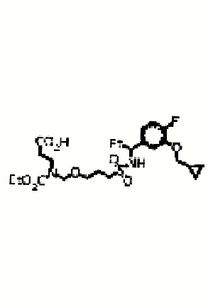 CCOC(=O)N(CCC(=O)O)COCCCS(=O)(=O)NC(CC)c1ccc(F)c(OCC2CC2)c1